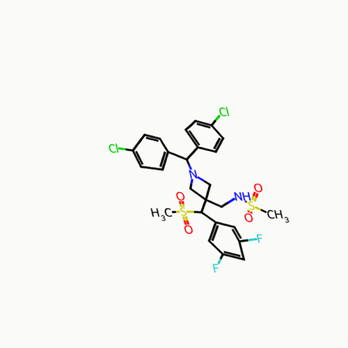 CS(=O)(=O)NCC1(C(c2cc(F)cc(F)c2)S(C)(=O)=O)CN(C(c2ccc(Cl)cc2)c2ccc(Cl)cc2)C1